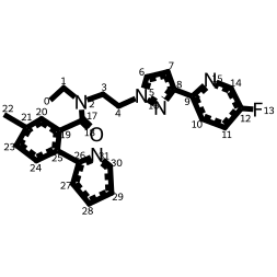 CCN(CCn1ccc(-c2ccc(F)cn2)n1)C(=O)c1cc(C)ccc1-c1ccccn1